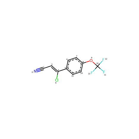 N#CC=C(Cl)c1ccc(OC(F)(F)F)cc1